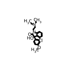 CCN(CC)CCN1C(=O)C(O)(c2ccc(OC)cc2)c2c(Cl)cccc21